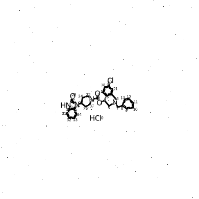 Cl.O=C(OCCN(Cc1ccccc1)Cc1cccc(Cl)c1)N1CCC(n2c(=O)[nH]c3ccccc32)CC1